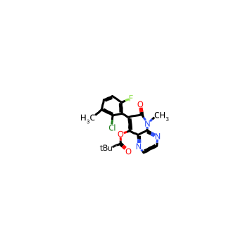 Cc1ccc(F)c(-c2c(OC(=O)C(C)(C)C)c3nccnc3n(C)c2=O)c1Cl